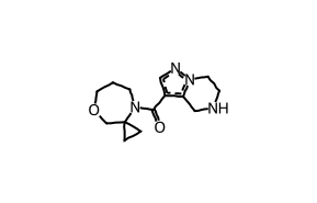 O=C(c1cnn2c1CNCC2)N1CCCOCC12CC2